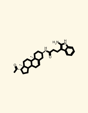 CC(=O)[C@H]1CCC2C3CC=C4C[C@H](NC(=O)CCc5c(N)[nH]c6ccccc56)CC[C@]4(C)C3CC[C@@]21C